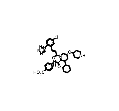 O=C(O)c1ccc(NC(=O)[C@@H]2C(C3CCCCC3)C[C@H](OC3CCNCC3)CN2C(=O)/C=C/c2cc(Cl)ccc2-n2cnnn2)cc1